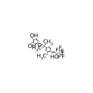 CCc1cc(C(CC)(CC)COc2ccc(CO)c(CO)c2)ccc1/C=C/C(O)C(C(F)(F)F)C(F)(F)F